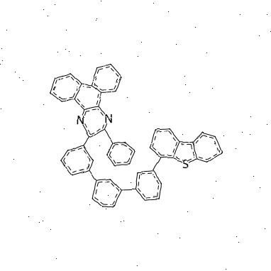 c1ccc(-c2nc3c4ccccc4c4ccccc4c3nc2-c2cccc(-c3cccc(-c4cccc(-c5cccc6c5sc5ccccc56)c4)c3)c2)cc1